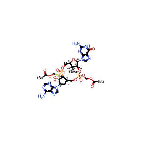 CO[C@H]1[C@H]2O[P@](=O)(OCOC(=O)C(C)(C)C)OC[C@@]3(C)C[C@@H](n4cnc5c(N)ncnc54)[C@H](O)[C@@H]3[P@@](=O)(SCOC(=O)C(C)(C)C)OC[C@H]1O[C@H]2n1cnc2c(=O)[nH]c(N)nc21